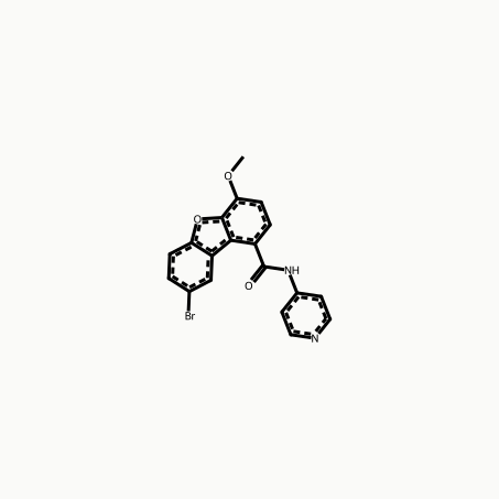 COc1ccc(C(=O)Nc2ccncc2)c2c1oc1ccc(Br)cc12